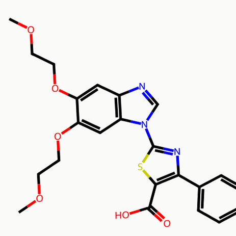 COCCOc1cc2ncn(-c3nc(-c4ccccc4)c(C(=O)O)s3)c2cc1OCCOC